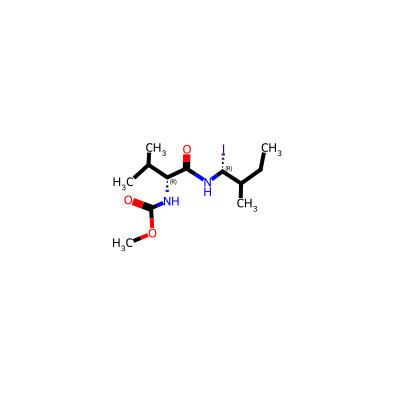 CCC(C)[C@@H](I)NC(=O)[C@H](NC(=O)OC)C(C)C